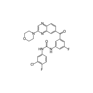 O=C(Nc1cc(F)cc(C(=O)c2ccc3ncc(N4CCOCC4)nc3c2)c1)Nc1ccc(F)c(Cl)c1